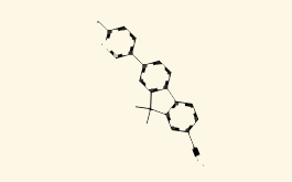 CC1(C)c2cc(C#N)ccc2-c2ccc(-c3ccc(Cl)nc3)cc21